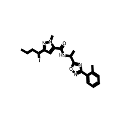 CCCC(I)c1cc(C(=O)NC(C)c2nc(-c3ccccc3C)no2)n(C)n1